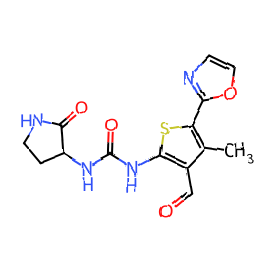 Cc1c(-c2ncco2)sc(NC(=O)NC2CCNC2=O)c1C=O